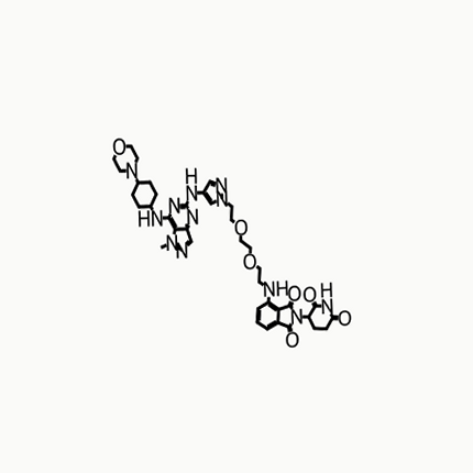 Cn1ncc2nc(Nc3cnn(CCOCCOCCNc4cccc5c4C(=O)N(C4CCC(=O)NC4=O)C5=O)c3)nc(NC3CCC(N4CCOCC4)CC3)c21